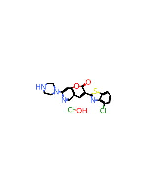 O=c1oc2cc(N3CCNCC3)ncc2cc1-c1nc2c(Cl)cccc2s1.OCl